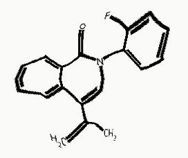 C=C(C)c1cn(-c2ccccc2F)c(=O)c2ccccc12